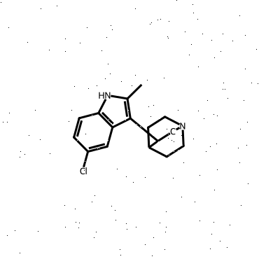 Cc1[nH]c2ccc(Cl)cc2c1C1CN2CCC1CC2